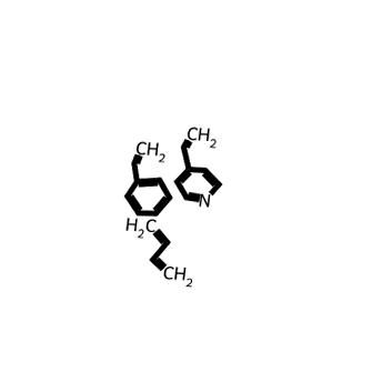 C=CC=C.C=Cc1ccccc1.C=Cc1ccncc1